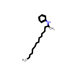 CCCCCCCCCCCCC[C](C)Nc1ccccc1